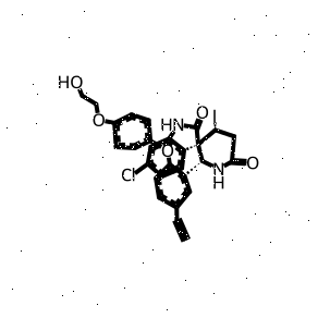 C#Cc1ccc(Oc2ccc(OCCO)cc2)c([C@H]2NC(=O)C[C@@H](I)[C@]23C(=O)Nc2cc(Cl)ccc23)c1